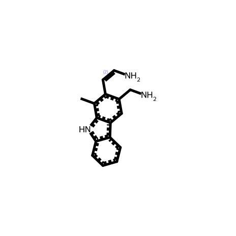 Cc1c(/C=C\N)c(CN)cc2c1[nH]c1ccccc12